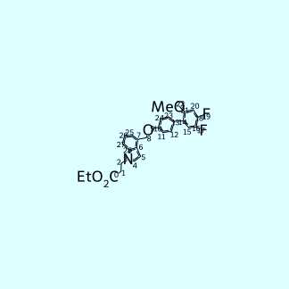 CCOC(=O)CCn1ccc2c(COc3ccc(-c4cc(F)c(F)cc4OC)cc3)cccc21